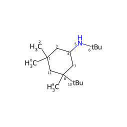 CC1(C)CC(NC(C)(C)C)CC(C)(C(C)(C)C)C1